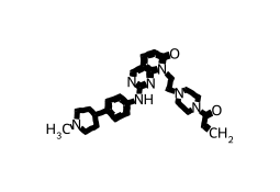 C=CC(=O)N1CCN(CCn2c(=O)ccc3cnc(Nc4ccc(C5CCN(C)CC5)cc4)nc32)CC1